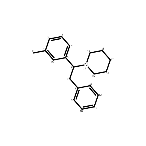 Cc1cccc(C(Cc2ccccc2)N2CCCCC2)c1